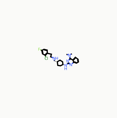 CN(C)c1nc(N[C@H]2CC[C@@H](CNCCc3ccc(F)cc3Cl)CC2)nc2ccccc12